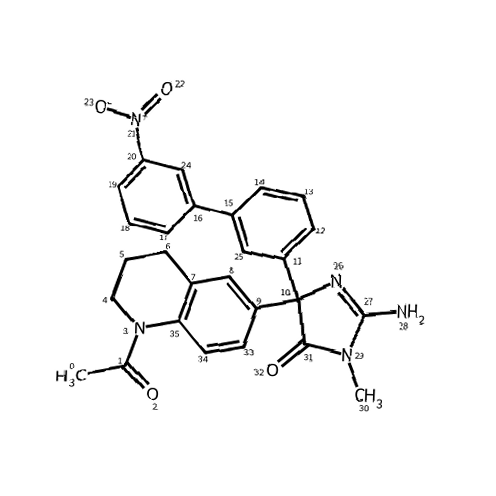 CC(=O)N1CCCc2cc(C3(c4cccc(-c5cccc([N+](=O)[O-])c5)c4)N=C(N)N(C)C3=O)ccc21